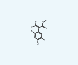 COC(=O)C(=C(F)F)c1cc(C)c(Cl)cc1F